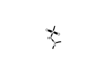 C[SiH](C)NS(C)(=O)=O